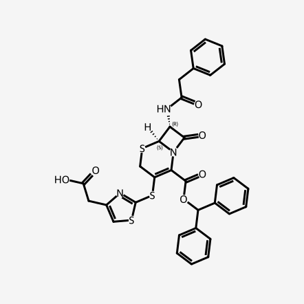 O=C(O)Cc1csc(SC2=C(C(=O)OC(c3ccccc3)c3ccccc3)N3C(=O)[C@@H](NC(=O)Cc4ccccc4)[C@@H]3SC2)n1